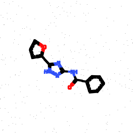 O=C(Nc1n[nH]c(-c2ccco2)n1)c1ccccc1